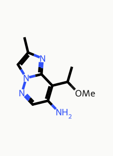 COC(C)c1c(N)cnn2cc(C)nc12